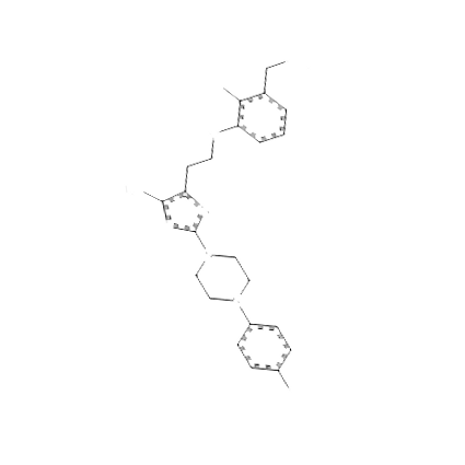 Cc1sc(N2CCN(c3ccc(Cl)cc3)CC2)nc1CCOc1cccc(CC(=O)O)c1F